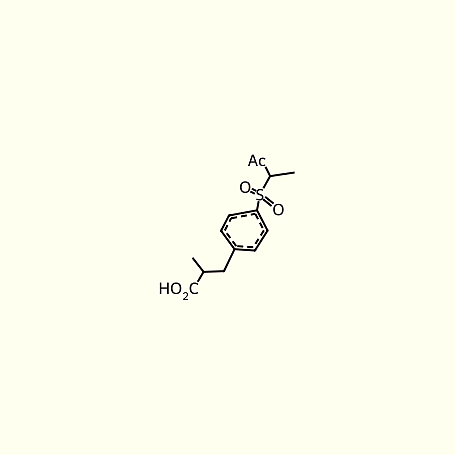 CC(=O)C(C)S(=O)(=O)c1ccc(CC(C)C(=O)O)cc1